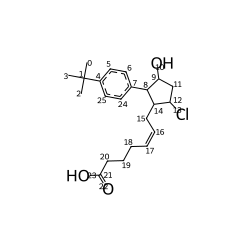 CC(C)(C)c1ccc(C2C(O)CC(Cl)C2C/C=C\CCCC(=O)O)cc1